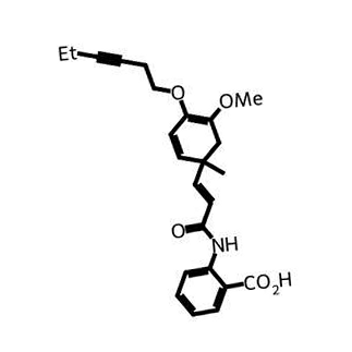 CCC#CCCOC1=C(OC)CC(C)(/C=C/C(=O)Nc2ccccc2C(=O)O)C=C1